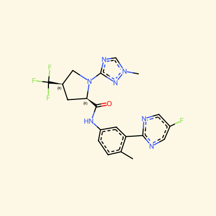 Cc1ccc(NC(=O)[C@H]2C[C@@H](C(F)(F)F)CN2c2ncn(C)n2)cc1-c1ncc(F)cn1